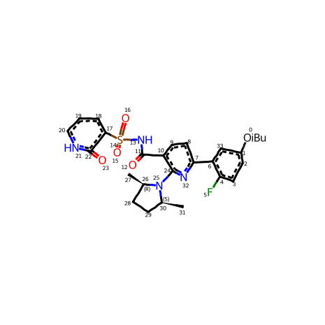 CC(C)COc1ccc(F)c(-c2ccc(C(=O)NS(=O)(=O)c3ccc[nH]c3=O)c(N3[C@H](C)CC[C@@H]3C)n2)c1